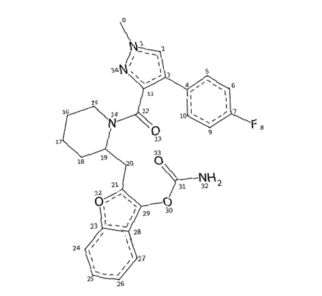 Cn1cc(-c2ccc(F)cc2)c(C(=O)N2CCCCC2Cc2oc3ccccc3c2OC(N)=O)n1